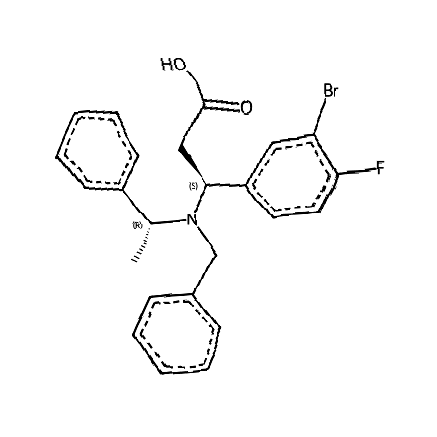 C[C@H](c1ccccc1)N(Cc1ccccc1)[C@@H](CC(=O)O)c1ccc(F)c(Br)c1